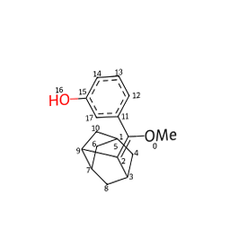 CO/C(=C1\C2CC3CC(C2)C1C3)c1cccc(O)c1